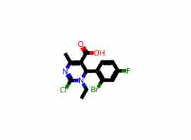 CCN1C(Cl)=NC(C)=C(C(=O)O)C1c1ccc(F)cc1Br